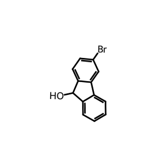 OC1c2ccccc2-c2cc(Br)ccc21